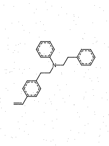 C=Cc1ccc(CCN(CCc2ccccc2)c2ccccc2)cc1